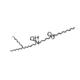 CCCCCCCCCCCOC(=O)CCCCCN(CCO)CCCCCCCC(CCCCCCCC)CCCCCCCC